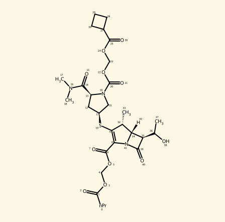 CCCC(=O)OCOC(=O)C1=C(S[C@H]2C[C@@H](C(=O)N(C)C)N(C(=O)OCOC(=O)C3CCC3)C2)[C@H](C)[C@@H]2[C@@H](C(C)O)C(=O)N12